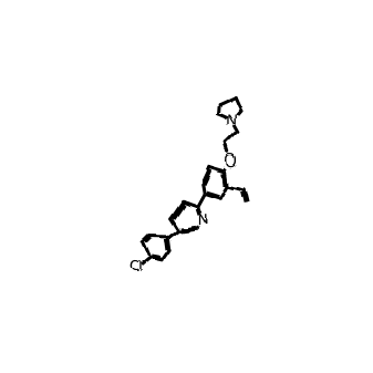 C=Cc1cc(-c2ccc(-c3ccc(Cl)cc3)cn2)ccc1OCCN1CCCC1